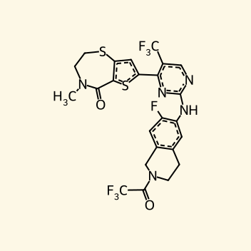 CN1CCSc2cc(-c3nc(Nc4cc5c(cc4F)CN(C(=O)C(F)(F)F)CC5)ncc3C(F)(F)F)sc2C1=O